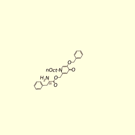 CCCCCCCCn1cc(OCc2ccccc2)c(=O)cc1COC(=O)[C@@H](N)Cc1ccccc1